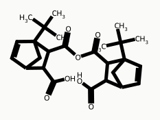 CC(C)(C)C12C=CC(C1)C(C(=O)O)C2C(=O)OC(=O)C1C(C(=O)O)C2C=CC1(C(C)(C)C)C2